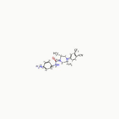 CC1CN(c2ccc(C#N)c(C(F)(F)F)c2)C(C)CN1C(=O)Nc1ccc(N)cc1